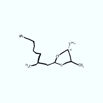 CC(C)CCCC(C)CC1OC(C)[C@@H](C)O1